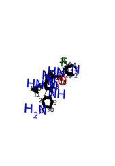 N[C@H]1CC[C@H](Nc2cc(NC3CC3)c3ncc(C(=O)Nc4ccncc4F)n3n2)CC1